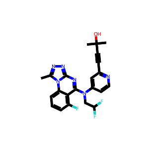 Cc1nnc2nc(N(CC(F)F)c3ccnc(C#CC(C)(C)O)c3)c3c(F)cccc3n12